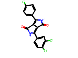 O=C1NC(c2ccc(Cl)c(Cl)c2)=C2C(=O)NC(c3ccc(Cl)cc3)=C12